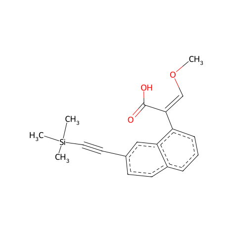 COC=C(C(=O)O)c1cccc2ccc(C#C[Si](C)(C)C)cc12